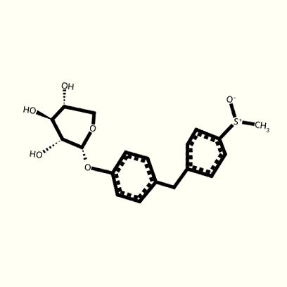 C[S+]([O-])c1ccc(Cc2ccc(O[C@H]3OC[C@@H](O)[C@H](O)[C@H]3O)cc2)cc1